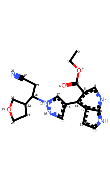 CCOC(=O)c1cnc2[nH]ccc2c1-c1cnn(C(CC#N)C2CCOC2)c1